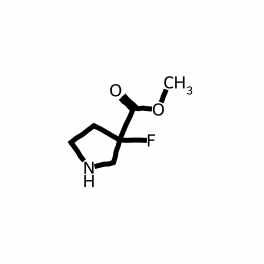 COC(=O)C1(F)CCNC1